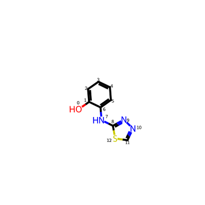 Oc1ccccc1Nc1nncs1